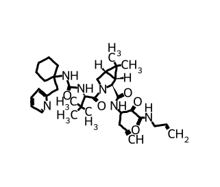 C#CCC(NC(=O)[C@@H]1[C@@H]2[C@H](CN1C(=O)[C@@H](NC(=O)NC1(Cc3ccccn3)CCCCC1)C(C)(C)C)C2(C)C)C(=O)C(=O)NCC=C